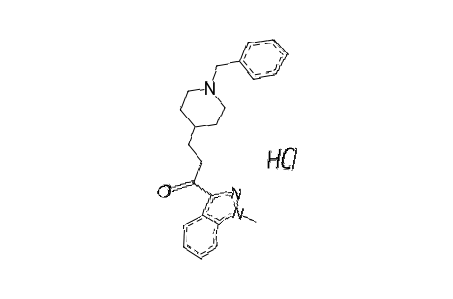 Cl.Cn1nc(C(=O)CCC2CCN(Cc3ccccc3)CC2)c2ccccc21